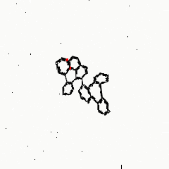 c1ccc(-c2ccccc2-c2c(-c3cccc4c5ccccc5c5ccccc5c34)ccc3ccccc23)cc1